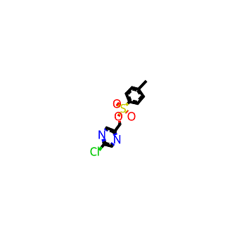 Cc1ccc(S(=O)(=O)OCc2cnc(Cl)cn2)cc1